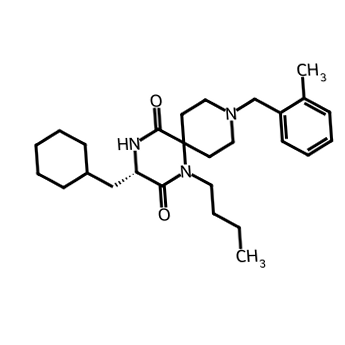 CCCCN1C(=O)[C@H](CC2CCCCC2)NC(=O)C12CCN(Cc1ccccc1C)CC2